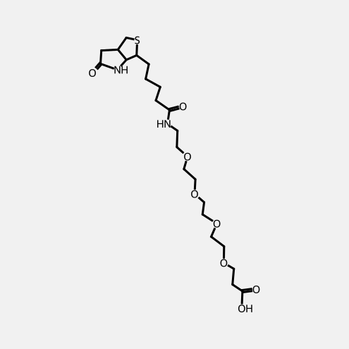 O=C(O)CCOCCOCCOCCOCCNC(=O)CCCCC1SCC2CC(=O)NC21